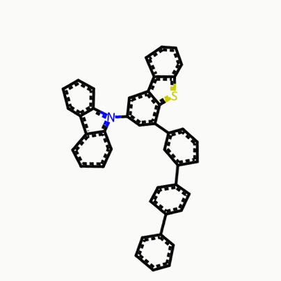 c1ccc(-c2ccc(-c3cccc(-c4cc(-n5c6ccccc6c6ccccc65)cc5c4sc4ccccc45)c3)cc2)cc1